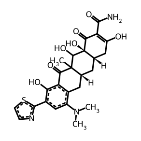 CN(C)c1cc(-c2nccs2)c(O)c2c1C[C@H]1C[C@H]3CC(O)=C(C(N)=O)C(=O)[C@@]3(O)C(O)C1(C)C2=O